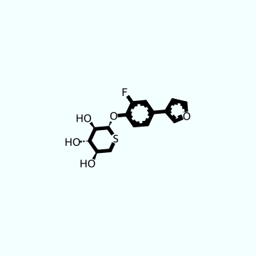 O[C@@H]1[C@@H](O)[C@H](Oc2ccc(-c3ccoc3)cc2F)SC[C@H]1O